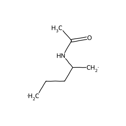 [CH2]CCC([CH2])NC(C)=O